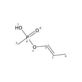 CC=COP(C)(=O)O